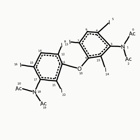 CC(=O)N(C(C)=O)c1c(I)cc(I)c(Oc2c(I)cc(I)c(N(C(C)=O)C(C)=O)c2I)c1I